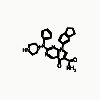 NC(=O)c1cn(-c2ccc3c(c2)CCC3)c2nc(N(c3ccccc3)N3CCNCC3)ncc2c1=O